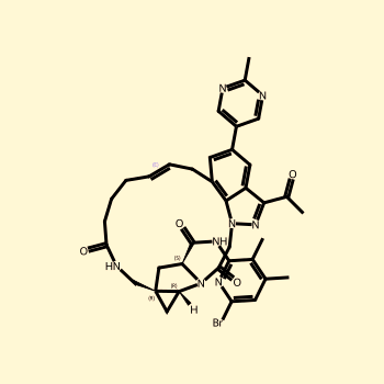 CC(=O)c1nn2c3c(cc(-c4cnc(C)nc4)cc13)C/C=C/CCCC(=O)NC[C@@]13C[C@@H](C(=O)Nc4nc(Br)cc(C)c4C)N(C(=O)C2)[C@@H]1C3